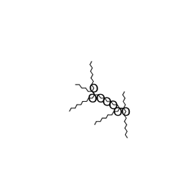 CCCCCCCCOC(CCCCC)=C(COCOCOCC(OCCCCCCCC)=C(CCCCC)OCCCCCCCC)OCCCCCCCC